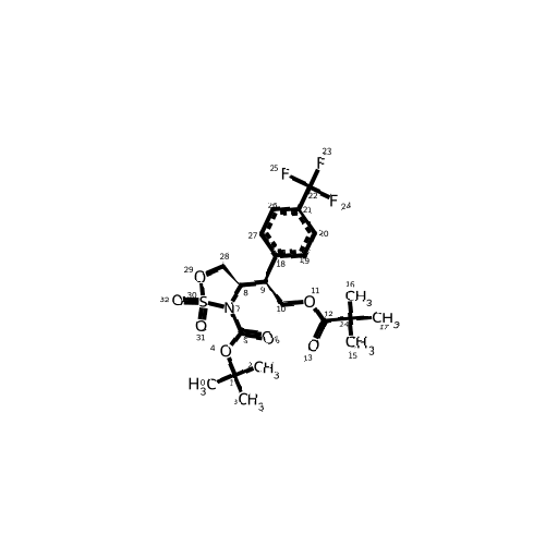 CC(C)(C)OC(=O)N1[C@H]([C@H](COC(=O)C(C)(C)C)c2ccc(C(F)(F)F)cc2)COS1(=O)=O